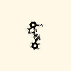 CC(C)c1cccc(C(C)C)c1/N=C(\Br)n1nnc(-c2ccccc2)n1